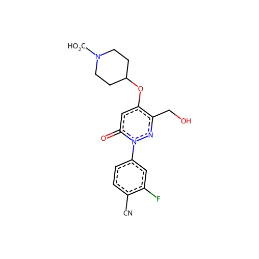 N#Cc1ccc(-n2nc(CO)c(OC3CCN(C(=O)O)CC3)cc2=O)cc1F